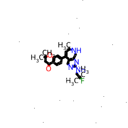 C[C@@H]1C=C(c2ccc3c(c2)OC(C)(C)CC3=O)c2cnc(NCC(C)(C)F)nc2CN1